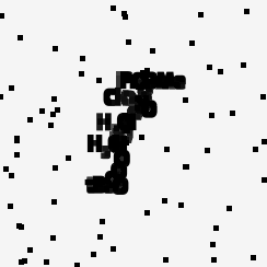 COc1cc2c(cc1OC(C)C)C(c1ccc(Cl)cc1)N(c1ccc(N(C)CC3CCC(N(C)CCOCCOCC(=O)OC(C)(C)C)CC3)cc1)C(=O)C2